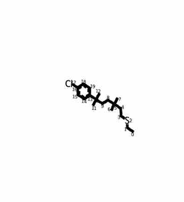 CCSCCC(C)(C)CCC(C)(C)c1ccc(Cl)cc1